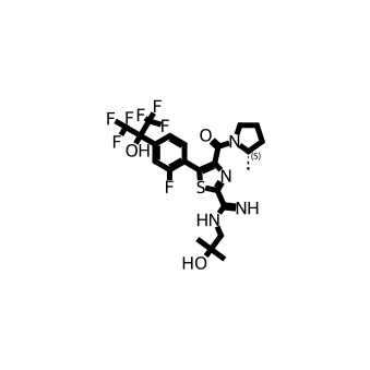 C[C@H]1CCCN1C(=O)c1nc(C(=N)NCC(C)(C)O)sc1-c1ccc(C(O)(C(F)(F)F)C(F)(F)F)cc1F